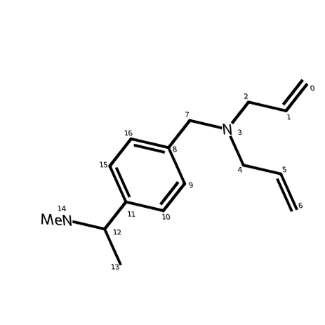 C=CCN(CC=C)Cc1ccc(C(C)NC)cc1